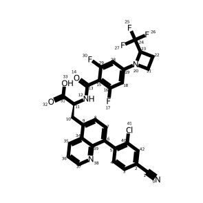 N#Cc1ccc(-c2ccc(C[C@H](NC(=O)c3c(F)cc(N4CCC4C(F)(F)F)cc3F)C(=O)O)c3cccnc23)c(Cl)c1